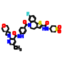 Cc1cnc(N2CC3(CCOCC3)C2)c(C(=O)Nc2ccc(C(=O)N3CCc4cc(C(=O)NC5CCS(=O)(=O)CC5)sc4-c4ccc(F)cc43)cc2)c1